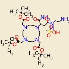 CC(C)(C)OC(=O)CN1CCN(CC(=O)OC(C)(C)C)CCN(C(C(N)=O)[C@@H](CS(=O)(=O)O)C(=O)NCCN)CCN(CC(=O)OC(C)(C)C)CC1